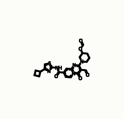 O=COC1CCCN(c2nc3cc(C(=O)Nc4nc(C5CCC5)cs4)ccn3c(=O)c2C=O)C1